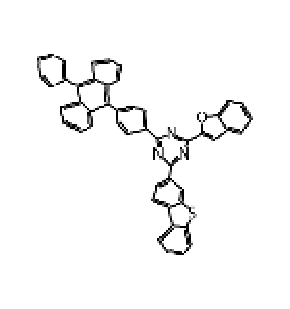 c1ccc(-c2c3ccccc3c(-c3ccc(-c4nc(-c5ccc6c(c5)sc5ccccc56)nc(-c5cc6ccccc6o5)n4)cc3)c3ccccc23)cc1